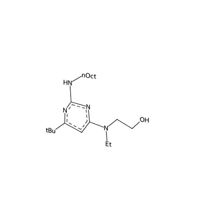 CCCCCCCCNc1nc(N(CC)CCO)cc(C(C)(C)C)n1